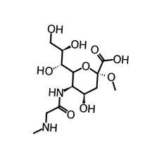 CNCC(=O)N[C@H]1C([C@H](O)[C@H](O)CO)O[C@@](OC)(C(=O)O)C[C@H]1O